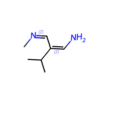 C/N=C\C(=C/N)C(C)C